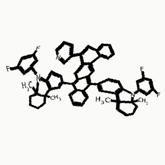 CC12CCCCC1(C)N(c1cc(F)cc(F)c1)c1ccc(-c3c4ccccc4c(-c4ccc5c(c4)C4(C)CCCCC4(C)N5c4cc(F)cc(F)c4)c4cc5c(cc34)c(-c3cccnc3)cc3ccccc35)cc12